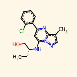 CC[C@H](CO)Nc1cc(-c2ccccc2Cl)nc2c(C)cnn12